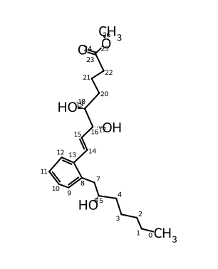 CCCCC[C@H](O)Cc1ccccc1/C=C/[C@@H](O)[C@@H](O)CCCC(=O)OC